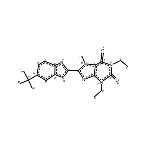 CCn1c(=O)c2c(nc(-c3nc4ccc(C(C)(C)C)cc4s3)n2C)n(CC)c1=O